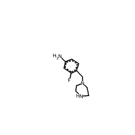 Nc1ccc(CN2CCNCC2)c(F)c1